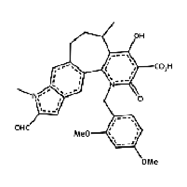 COc1ccc(Cn2c3c(c(O)c(C(=O)O)c2=O)C(C)CCc2cc4c(cc2-3)cc(C=O)n4C)c(OC)c1